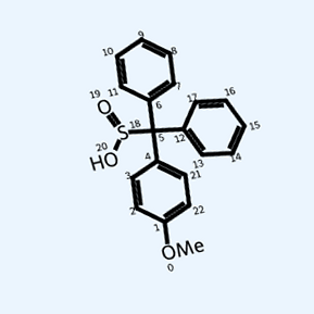 COc1ccc(C(c2ccccc2)(c2ccccc2)S(=O)O)cc1